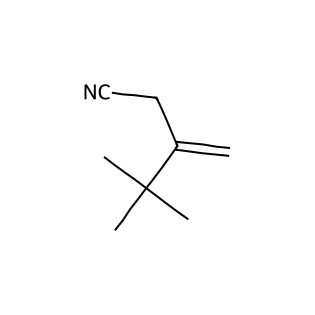 C=C(CC#N)C(C)(C)C